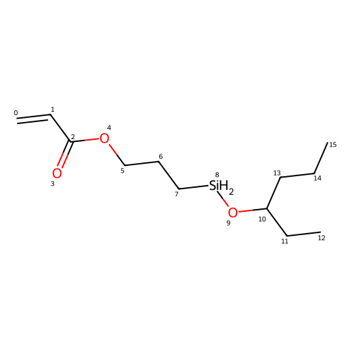 C=CC(=O)OCCC[SiH2]OC(CC)CCC